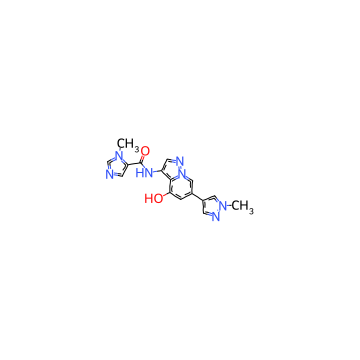 Cn1cc(-c2cc(O)c3c(NC(=O)c4cncn4C)cnn3c2)cn1